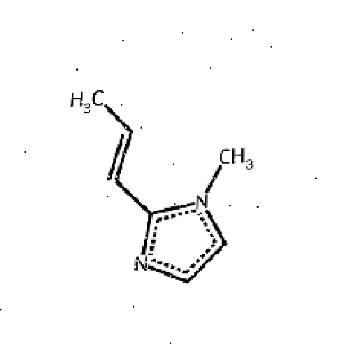 C/C=C/c1nccn1C